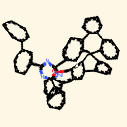 c1ccc(-c2cccc(-c3nc(-c4ccccc4)nc(-c4ccc5c(c4)C4(c6ccccc6-c6ccccc6-5)c5ccccc5-c5cc6c(cc54)oc4ccccc46)n3)c2)cc1